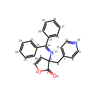 O=C1OC=CC1(Cc1ccncc1)N=C(c1ccccc1)c1ccccc1